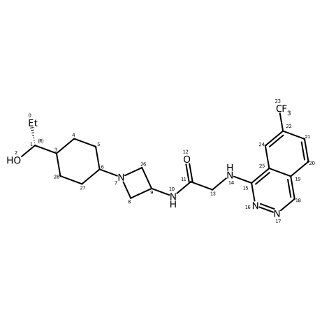 CC[C@@H](O)C1CCC(N2CC(NC(=O)CNc3nncc4ccc(C(F)(F)F)cc34)C2)CC1